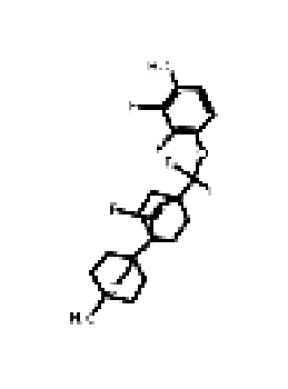 Cc1ccc(OC(F)(F)C23C=C(F)C(C45CCC(C)(CC4)CC5)(CC2)CC3)c(F)c1F